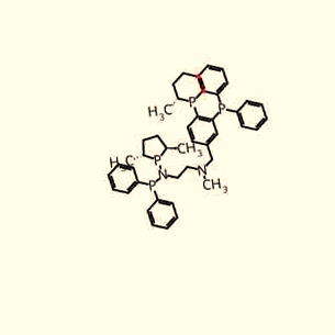 C[C@@H]1CCCCP1c1ccc(CN(C)CCN(P(c2ccccc2)c2ccccc2)P2[C@H](C)CC[C@H]2C)cc1P(c1ccccc1)c1ccccc1